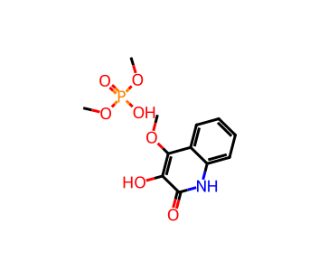 COP(=O)(O)OC.COc1c(O)c(=O)[nH]c2ccccc12